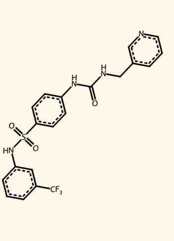 O=C(NCc1cccnc1)Nc1ccc(S(=O)(=O)Nc2cccc(C(F)(F)F)c2)cc1